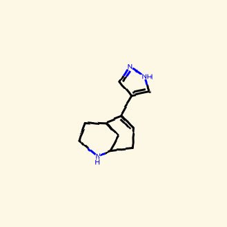 C1=C(c2cn[nH]c2)C2CCNC(C1)C2